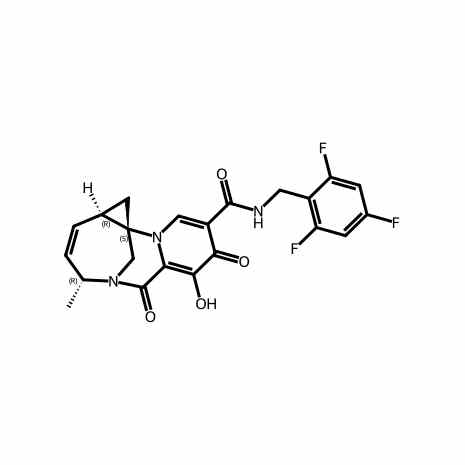 C[C@@H]1C=C[C@H]2C[C@@]23CN1C(=O)c1c(O)c(=O)c(C(=O)NCc2c(F)cc(F)cc2F)cn13